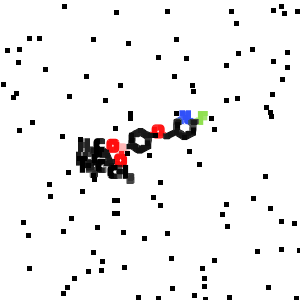 CC1(C)OB(c2ccc(OCc3ccc(F)nc3)cc2)OC1(C)C